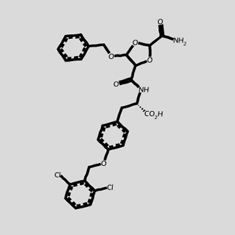 NC(=O)C1OC(OCc2ccccc2)C(C(=O)N[C@@H](Cc2ccc(OCc3c(Cl)cccc3Cl)cc2)C(=O)O)O1